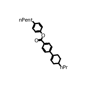 CCCCCc1ccc(OC(=O)c2ccc(C3=CCC(CCC)CC3)cc2)cc1